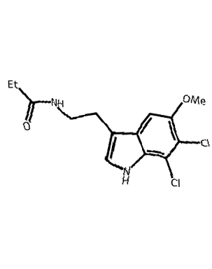 CCC(=O)NCCc1c[nH]c2c(Cl)c(Cl)c(OC)cc12